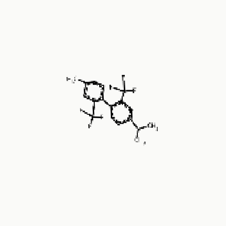 Cc1ccc(-c2ccc(C(C)C)cc2C(F)(F)F)c(C(F)(F)F)c1